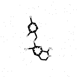 CC1NCCc2cc(C(F)(F)F)c(OCc3ccc(Cl)cc3F)nc21